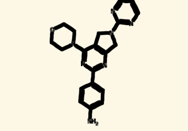 Nc1ccc(-c2nc3c(c(N4CCOCC4)n2)CN(c2ncccn2)C3)cc1